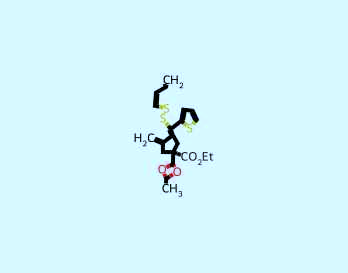 C=C/C=C\SS/C(=C1/CC(C(=O)OCC)(C2OC(C)O2)CC1=C)c1cccs1